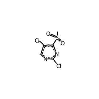 CS(=O)(=O)c1nc(Cl)n[c]c1Cl